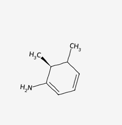 CC1C=CC=C(N)[C@H]1C